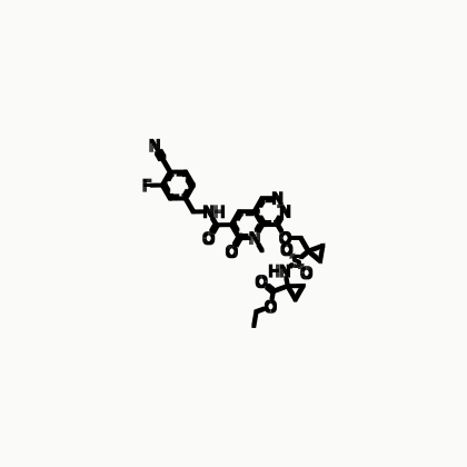 CCOC(=O)C1(NS(=O)(=O)C2(COc3nncc4cc(C(=O)NCc5ccc(C#N)c(F)c5)c(=O)n(C)c34)CC2)CC1